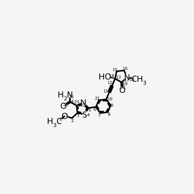 COCc1sc(-c2cccc(C#C[C@]3(O)CCN(C)C3=O)c2)nc1C(N)=O